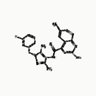 Cc1ccc2nc(C)cc(C(=O)Nc3c(C)nn(Cc4cccc(F)c4)c3C)c2c1